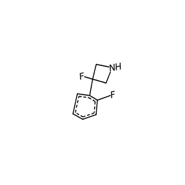 Fc1ccccc1C1(F)CNC1